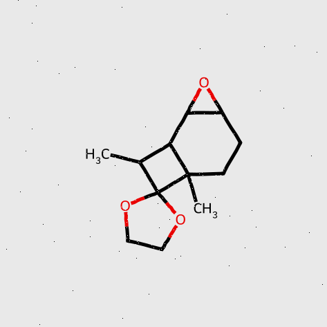 CC1C2C3OC3CCC2(C)C12OCCO2